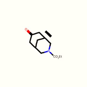 C=C.CCOC(=O)N1CC2CC(=O)CC(C2)C1